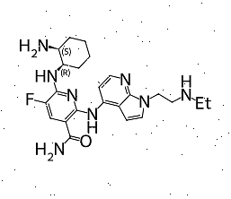 CCNCCn1ccc2c(Nc3nc(N[C@@H]4CCCC[C@@H]4N)c(F)cc3C(N)=O)ccnc21